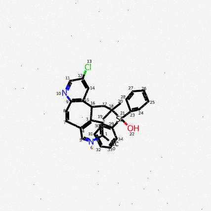 CC(=O)c1cc2c(cn1)C=Cc1ncc(Cl)cc1C2CC(C)(C)[Si](O)(c1ccccc1)c1ccccc1